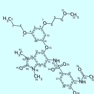 CCCOc1cc(OCCCOC)cc(Oc2cc3c(cc2NS(=O)(=O)c2ccc(OC)c(NC(C)=O)c2)n(C)c(=O)n3C)c1